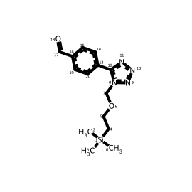 C[Si](C)(C)CCOCn1nnnc1-c1ccc(C=O)cc1